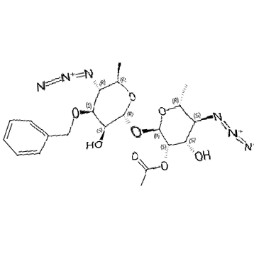 CC(=O)O[C@@H]1[C@@H](O[C@H]2O[C@H](C)[C@@H](N=[N+]=[N-])[C@H](OCc3ccccc3)[C@@H]2O)O[C@H](C)[C@@H](N=[N+]=[N-])[C@@H]1O